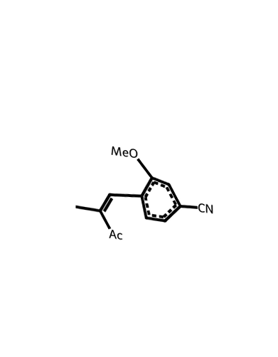 COc1cc(C#N)ccc1/C=C(/C)C(C)=O